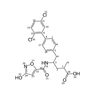 CC(CC(Cc1ccc(-c2cc(Cl)ccc2Cl)cc1)NC(=O)c1cc(O)no1)C(=O)O